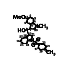 COc1ccc2c(c1)c(C(O)c1cn(S(=O)(=O)c3ccc(C)cc3)c3ccccc13)cn2C